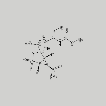 COC(=O)[C@@H]1[C@@H]2[C@H]1S(=O)(=O)C[C@@]2(NC(=O)[C@H](CC(C)C)NC(=O)OC(C)(C)C)C(=O)OC